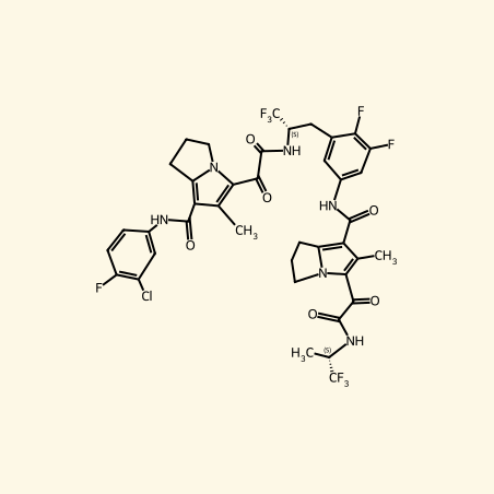 Cc1c(C(=O)Nc2cc(F)c(F)c(C[C@H](NC(=O)C(=O)c3c(C)c(C(=O)Nc4ccc(F)c(Cl)c4)c4n3CCC4)C(F)(F)F)c2)c2n(c1C(=O)C(=O)N[C@@H](C)C(F)(F)F)CCC2